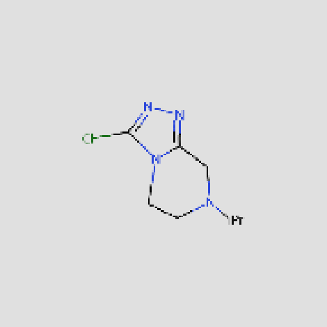 CC(C)N1CCn2c(Cl)nnc2C1